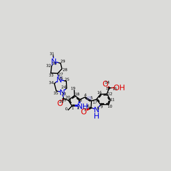 Cc1[nH]c(/C=C2\C(=O)Nc3ccc(C(=O)O)cc32)c(C)c1C(=O)N1CCN(C2CCN(C)CC2)CC1